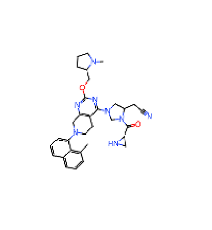 Cc1cccc2cccc(N3CCc4c(nc(OCC5CCCN5C)nc4N4CC(CC#N)N(C(=O)C5CN5)C4)C3)c12